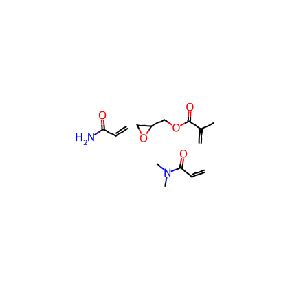 C=C(C)C(=O)OCC1CO1.C=CC(=O)N(C)C.C=CC(N)=O